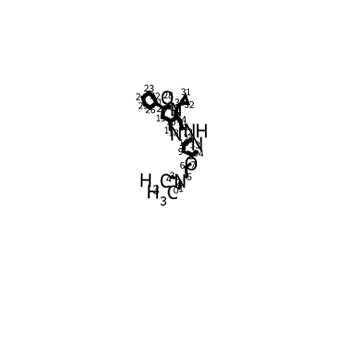 CCN(CC)CCOc1ccc(Nc2cc3c(cn2)cc(-c2ccccc2)c(=O)n3C2CC2)nc1